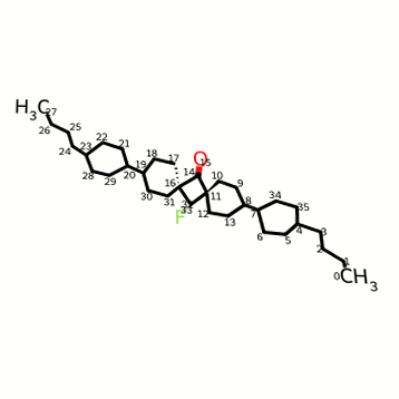 CCCCC1CCC(C2CC[C@]3(CC2)C(=O)[C@@]2(CCC(C4CCC(CCCC)CC4)CC2)[C@H]3F)CC1